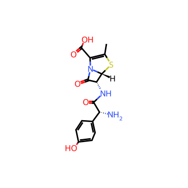 CC1=C(C(=O)O)N2C(=O)[C@@H](NC(=O)[C@H](N)c3ccc(O)cc3)[C@H]2S1